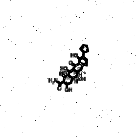 C[C@H]1c2ccc(C3C=CCC3)c(O)c2C(=O)C2=C(O)[C@]3(O)C(=O)C(C(N)=O)=C(O)C[C@@H]3[C@@H](O)[C@@H]21